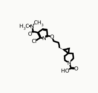 CN(C)C(=O)c1ccc(OCCC[C@@H]2CC23CCN(C(=O)O)CC3)nc1Cl